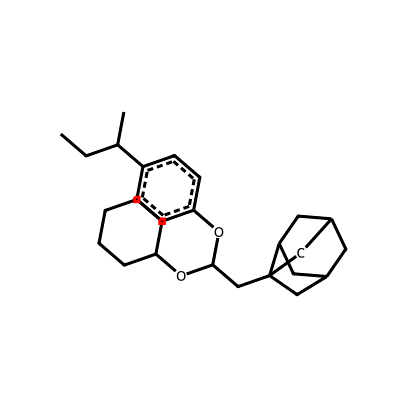 CCC(C)c1ccc(OC(CC23CC4CC(CC2C4)C3)OC2CCCCC2)cc1